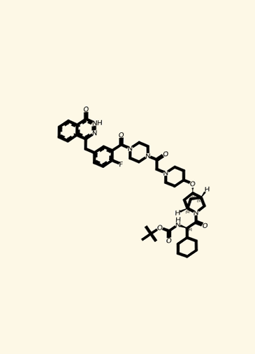 CC(C)(C)OC(=O)N[C@@H](C(=O)N1C[C@@H]2C[C@H]1C[C@@H]2OC1CCN(CC(=O)N2CCN(C(=O)c3cc(Cc4n[nH]c(=O)c5ccccc45)ccc3F)CC2)CC1)C1CCCCC1